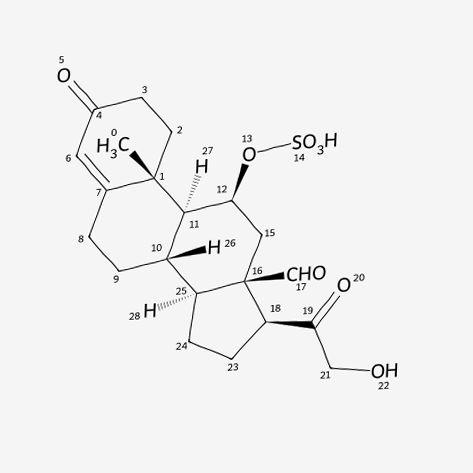 C[C@]12CCC(=O)C=C1CC[C@@H]1[C@@H]2[C@@H](OS(=O)(=O)O)C[C@]2(C=O)[C@@H](C(=O)CO)CC[C@@H]12